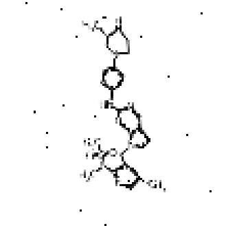 Cc1cnc(N(C)S(C)(=O)=O)c(Cn2ccc3cnc(Nc4ccc(N5CCN[C@H](C)C5)cc4)nc32)c1